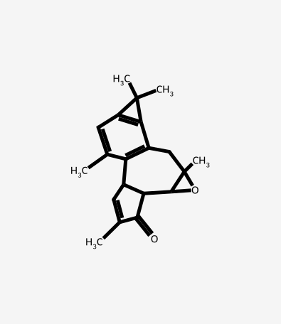 CC1=CC2c3c(C)cc4c(c3CC3(C)OC3C2C1=O)C4(C)C